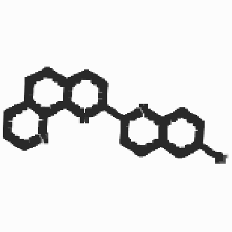 Brc1ccc2nc(-c3ccc4ccc5cccnc5c4n3)ccc2c1